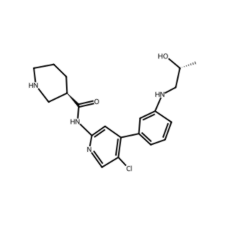 C[C@@H](O)CNc1cccc(-c2cc(NC(=O)[C@@H]3CCCNC3)ncc2Cl)c1